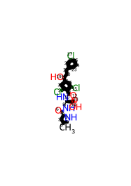 C[C@H]1CN[C@@H](C(=O)NC[C@H](NC(=O)c2c(Cl)cc(C(O)CCc3cccc(Cl)c3)cc2Cl)C(=O)O)C1